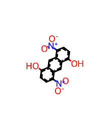 O=[N+]([O-])c1ccc(O)c2cc3c([N+](=O)[O-])ccc(O)c3cc12